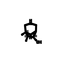 C[C@@H]1[C@H](O)C2CNC[C@]1(C)N2